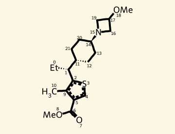 CC[C@@H](c1scc(C(=O)OC)c1C)[C@H]1CC[C@H](N2CC(OC)C2)CC1